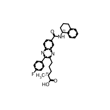 C[C@H](CCCc1nc2cc(C(=O)N[C@H]3CCCc4ccccc43)ccc2nc1-c1ccc(F)cc1)C(=O)O